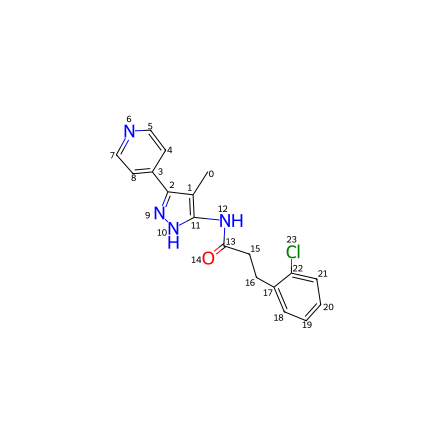 Cc1c(-c2ccncc2)n[nH]c1NC(=O)CCc1ccccc1Cl